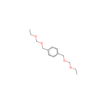 CCOCOCc1ccc(COCOCC)cc1